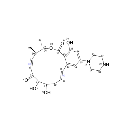 C[C@@H]1/C=C\C(=O)C(O)C(O)C/C=C/c2cc(N3CCNCC3)cc(O)c2C(=O)O[C@H]1C